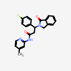 Cc1ccnc(NC(=O)CC(c2ccc(F)cc2)N2Cc3ccccc3C2=O)c1